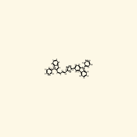 C(=C/c1cc2ccccc2n1-c1cccnc1)/C=C/c1nnc(-c2ccc3c(c2)c2ccccc2n3-c2cccnc2)s1